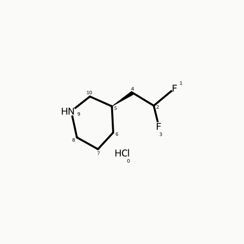 Cl.FC(F)C[C@H]1CCCNC1